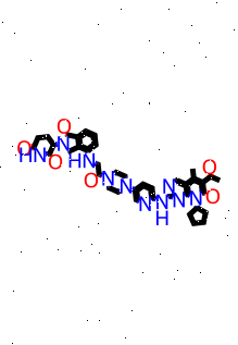 CC(=O)c1c(C)c2cnc(Nc3ccc(N4CCN(C(=O)CNc5cccc6c5CN(C5CCC(=O)NC5=O)C6=O)CC4)cn3)nc2n(C2CCCC2)c1=O